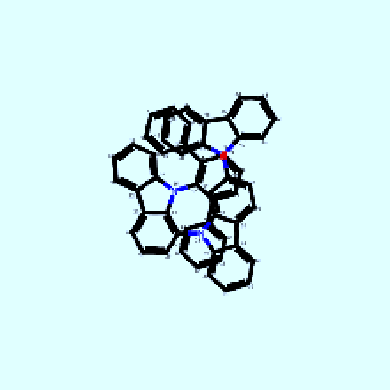 c1ccc(-c2cccc(-c3ccccc3)c2-n2c3ccccc3c3cccc(-n4c5ccccc5c5ccc(-n6c7ccccc7c7ccccc76)cc54)c32)cc1